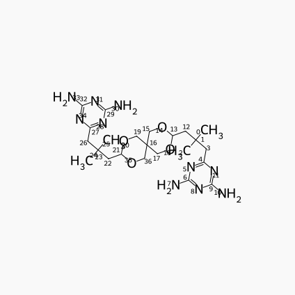 CC(C)(Cc1nc(N)nc(N)n1)CC1OCC2(CO1)COC(CC(C)(C)Cc1nc(N)nc(N)n1)OC2